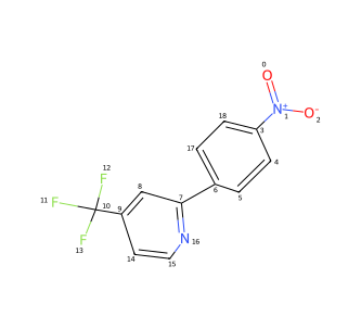 O=[N+]([O-])c1ccc(-c2cc(C(F)(F)F)ccn2)cc1